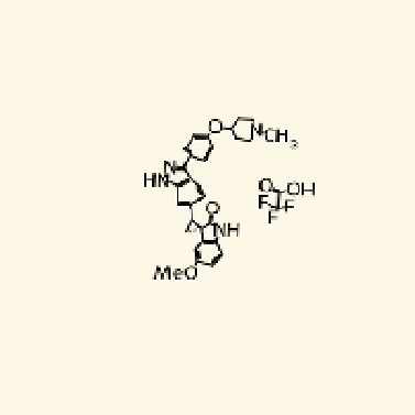 COc1ccc2c(c1)[C@]1(C[C@H]1c1ccc3c(-c4ccc(OC5CCN(C)CC5)cc4)n[nH]c3c1)C(=O)N2.O=C(O)C(F)(F)F